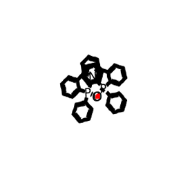 O=P(c1ccccc1)(c1ccccc1)c1ccccc1-c1cccc(-c2ccccc2P(=O)(c2ccccc2)c2ccccc2)n1